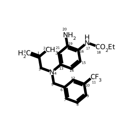 C=C(C)CN(Cc1cccc(C(F)(F)F)c1)c1ccc(NC(=O)OCC)c(N)c1